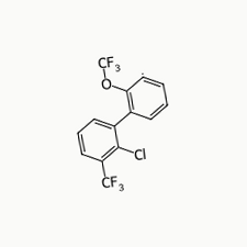 FC(F)(F)Oc1[c]cccc1-c1cccc(C(F)(F)F)c1Cl